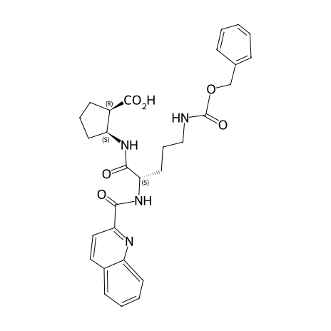 O=C(NCCC[C@H](NC(=O)c1ccc2ccccc2n1)C(=O)N[C@H]1CCC[C@H]1C(=O)O)OCc1ccccc1